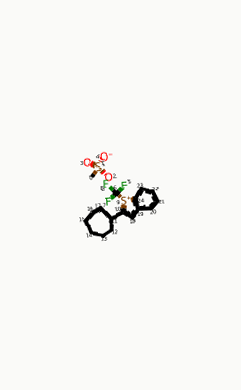 CS(=O)(=O)[O-].FC(F)(F)[s+]1c(C2CCCCCC2)cc2ccccc21